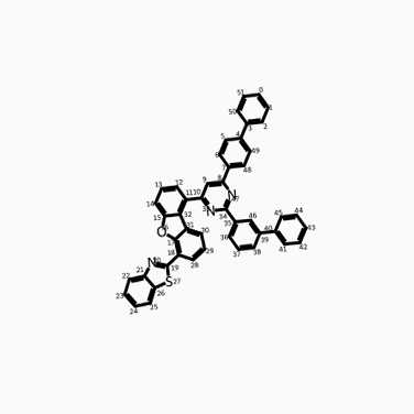 c1ccc(-c2ccc(-c3cc(-c4cccc5oc6c(-c7nc8ccccc8s7)cccc6c45)nc(-c4cccc(-c5ccccc5)c4)n3)cc2)cc1